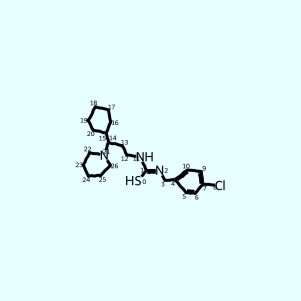 SC(=NCc1ccc(Cl)cc1)NCCC(C1CCCCC1)N1CCCCC1